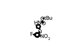 CC(C)(C)OC(=O)N[C@H]1CC[C@H](Oc2cc(F)ccc2[N+](=O)[O-])C1